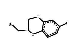 Fc1ccc2c(c1)OC[C@H](CBr)O2